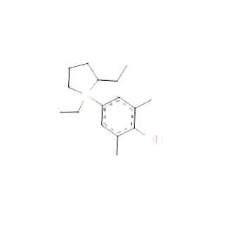 CCC1CCCS1(CC)c1cc(C)c(O)c(C)c1